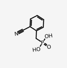 N#Cc1ccccc1CP(=O)(O)O